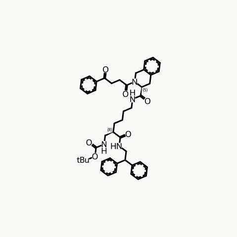 CC(C)(C)OC(=O)NC[C@@H](CCCCNC(=O)[C@@H]1Cc2ccccc2CN1C(=O)CCC(=O)c1ccccc1)C(=O)NCC(c1ccccc1)c1ccccc1